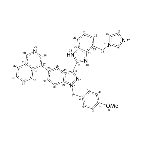 COc1ccc(Cn2nc(-c3nc4c(Cn5ccnc5)cccc4[nH]3)c3cc(-c4cncc5ccccc45)ccc32)cc1